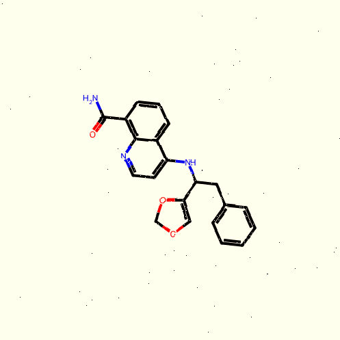 NC(=O)c1cccc2c(NC(Cc3ccccc3)C3=COCO3)ccnc12